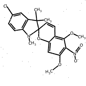 COc1cc2c(c(OC)c1[N+](=O)[O-])C=CC1(O2)N(C)c2ccc(Cl)cc2C1(C)C